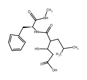 CNC(=O)[C@H](Cc1ccccc1)NC(=O)C(CC(C)C)C(S)CC(=O)O